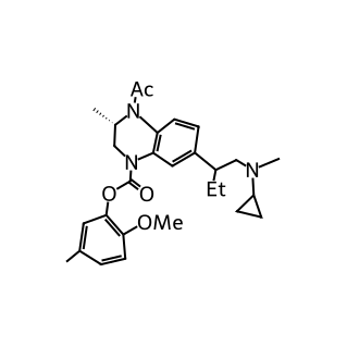 CCC(CN(C)C1CC1)c1ccc2c(c1)N(C(=O)Oc1cc(C)ccc1OC)C[C@H](C)N2C(C)=O